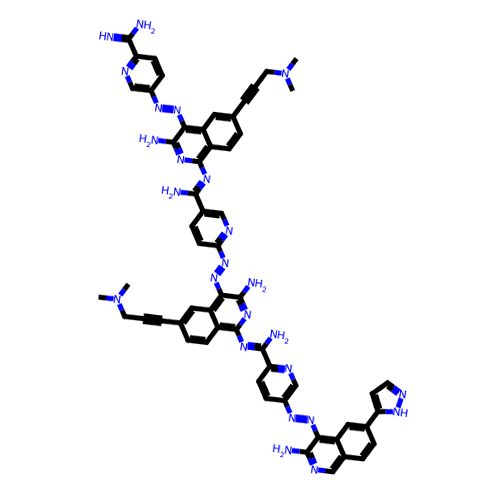 CN(C)CC#Cc1ccc2c(/N=C(\N)c3ccc(/N=N/c4c(N)nc(/N=C(\N)c5ccc(/N=N/c6c(N)ncc7ccc(-c8ccn[nH]8)cc67)cn5)c5ccc(C#CCN(C)C)cc45)nc3)nc(N)c(/N=N/c3ccc(C(=N)N)nc3)c2c1